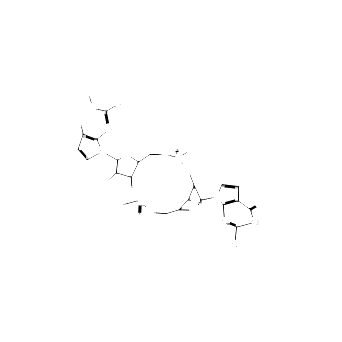 Cc1ccn(C2OC3COP(=O)(S)OC4C(O)C(COP(=O)(O)OC3C2O)OC4n2ccc3c(=O)[nH]c(N)nc32)c1/N=C(/N)NC=O